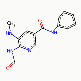 CNc1cc(C(=O)Nc2ccccc2)cnc1NC=O